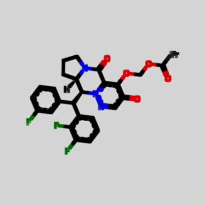 CC(C)C(=O)OCOc1c2n(ncc1=O)[C@@H](C(c1cccc(F)c1)c1cccc(F)c1F)[C@H]1CCCN1C2=O